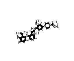 COc1cc(N2CCN(C(C)C)CC2)ccc1Nc1cc2c(Nc3ccc(F)c(F)c3C(N)=O)cncc2[nH]1